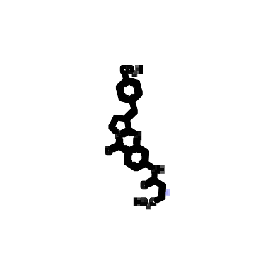 O=C(O)/C=C\C(=O)Nc1ccc2c(=O)n3c(nc2c1)C(=Cc1ccc(C(=O)O)cc1)CC3